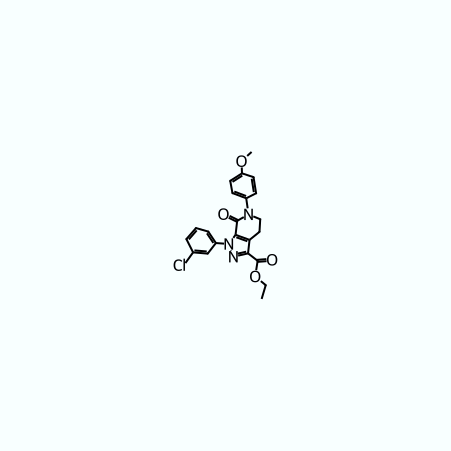 CCOC(=O)c1nn(-c2cccc(Cl)c2)c2c1CCN(c1ccc(OC)cc1)C2=O